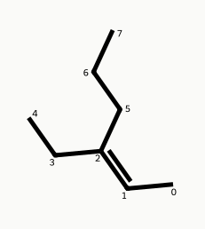 CC=C(CC)CCC